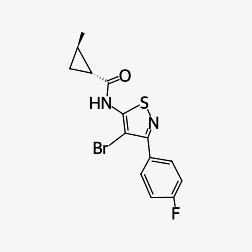 C[C@@H]1C[C@H]1C(=O)Nc1snc(-c2ccc(F)cc2)c1Br